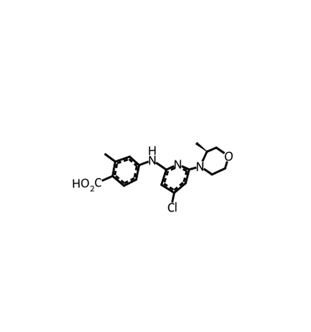 Cc1cc(Nc2cc(Cl)cc(N3CCOC[C@@H]3C)n2)ccc1C(=O)O